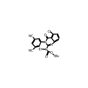 CCN(C(=O)OC(C)(C)C)c1nc2cccc(Cl)c2c(=O)n1-c1cc(C#N)cc(C#N)c1